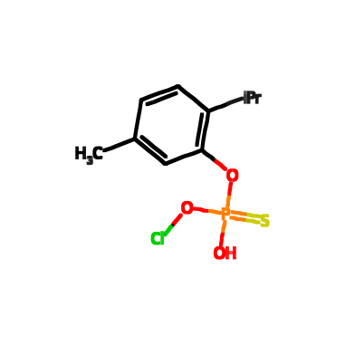 Cc1ccc(C(C)C)c(OP(O)(=S)OCl)c1